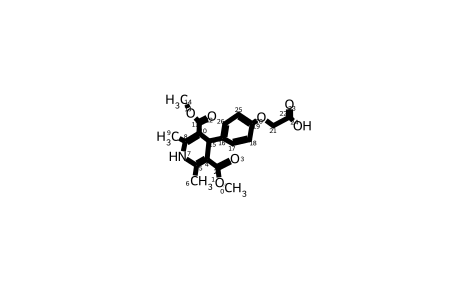 COC(=O)C1=C(C)NC(C)=C(C(=O)OC)C1c1ccc(OCC(=O)O)cc1